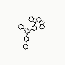 c1ccc(-c2ccc(-[n+]3c[n+](-c4ccccc4)c[n+](-c4cccc(-n5c6ccccc6c6ccc7sc8ccccc8c7c65)c4)c3)cc2)cc1